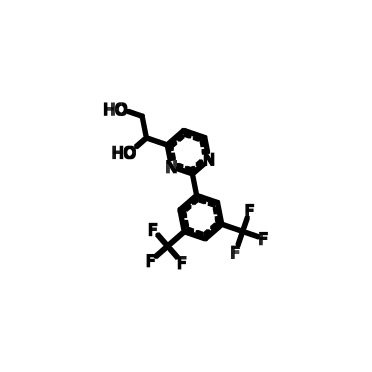 OCC(O)c1ccnc(-c2cc(C(F)(F)F)cc(C(F)(F)F)c2)n1